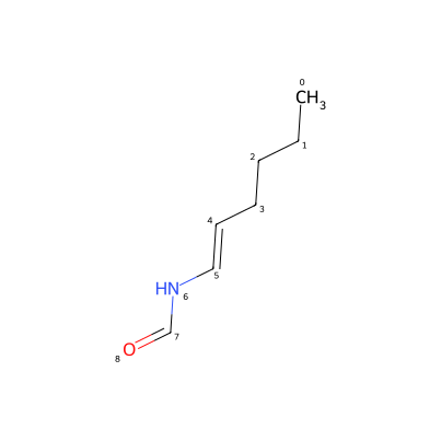 CCCCC=CNC=O